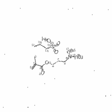 C=C(C)C(=O)OCCCN(CCCC)CCCC.CCCS(=O)(=O)O